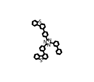 c1ccc(-c2cccc(-c3nc(-c4ccc(-c5ccc6sc7ccccc7c6c5)cc4)nc(-c4cccc(-c5cccc6sc7ccccc7c56)c4)n3)c2)cc1